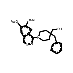 COc1cc2cnnc(N3CCC(CO)(Cc4ccccc4)CC3)c2cc1OC